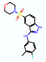 Cc1cc(Nc2n[nH]c3ccc(S(=O)(=O)N4CCOCC4)cc23)ccc1F